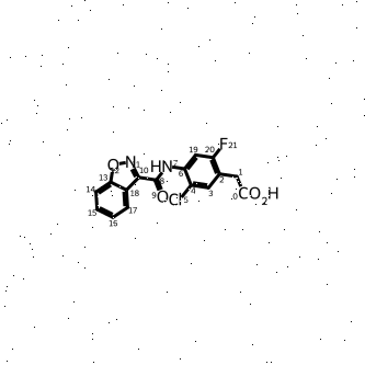 O=C(O)Cc1cc(Cl)c(NC(=O)c2noc3ccccc23)cc1F